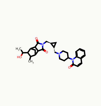 CC(O)C1C(C)C2CC1C1C(=O)N(C[C@H]3C[C@@H]3CN3CCC(n4c(=O)ccc5ccccc54)CC3)C(=O)C21